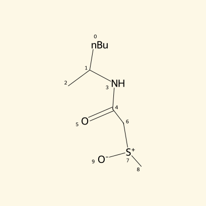 CCCCC(C)NC(=O)C[S+](C)[O-]